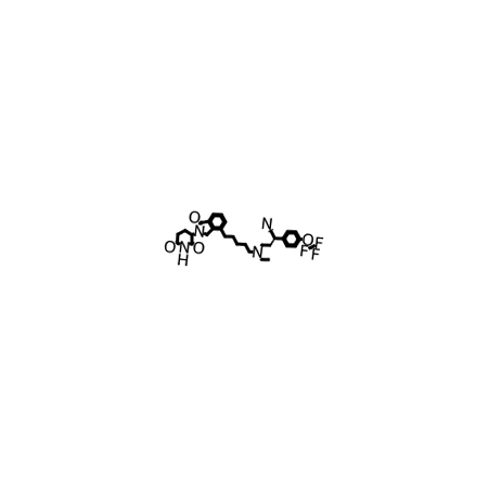 CCN(CCCCCc1cccc2c1CN(C1CCC(=O)NC1=O)C2=O)CC[C@@H](C#N)c1ccc(OC(F)(F)F)cc1